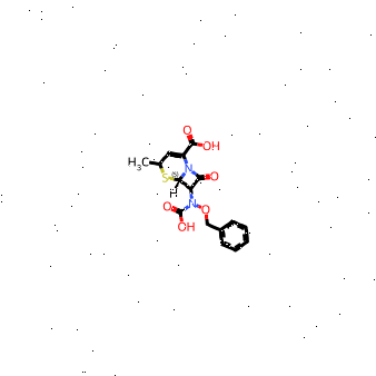 CC1C=C(C(=O)O)N2C(=O)C(N(OCc3ccccc3)C(=O)O)[C@@H]2S1